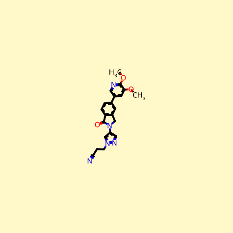 COc1cc(-c2ccc3c(c2)CN(c2cnn(CCC#N)c2)C3=O)cnc1OC